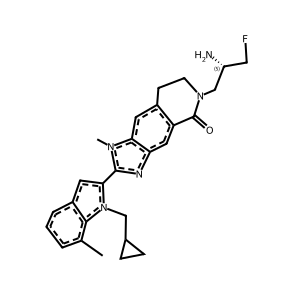 Cc1cccc2cc(-c3nc4cc5c(cc4n3C)CCN(C[C@H](N)CF)C5=O)n(CC3CC3)c12